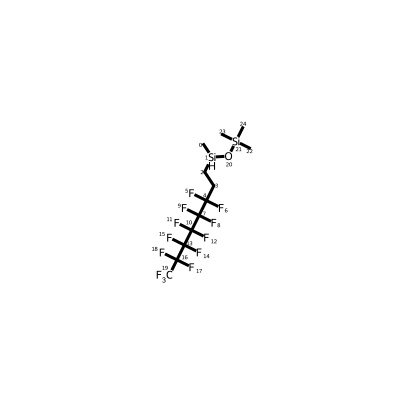 C[SiH](CCC(F)(F)C(F)(F)C(F)(F)C(F)(F)C(F)(F)C(F)(F)F)O[Si](C)(C)C